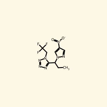 CCC(c1nnnn1CC(F)(F)F)n1cc([N+](=O)[O-])cn1